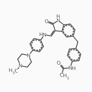 CC(=O)Nc1ccc(Cc2ccc3c(c2)C(=CNc2ccc(N4CCN(C)CC4)cc2)C(=O)N3)cc1